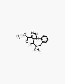 COC(=O)c1nnn2c1C(=O)N(C)Cc1ccccc1-2